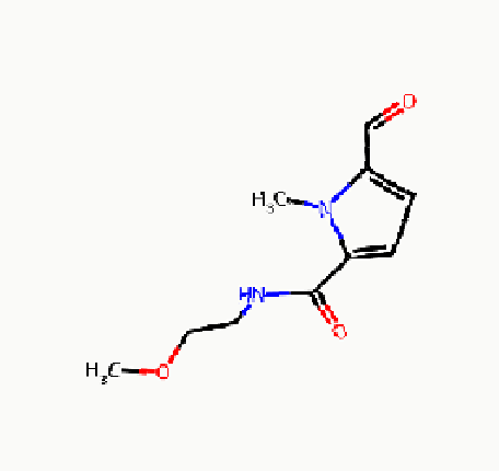 COCCNC(=O)c1ccc(C=O)n1C